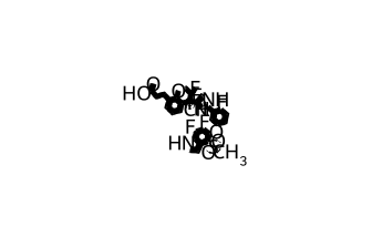 C[C@@]1(c2c[nH]c(-c3cc(Oc4c(F)c(F)c5[nH]ccc5c4S(C)(=O)=O)ccc3F)n2)c2cccc(CCC(=O)O)c2OCC1(F)F